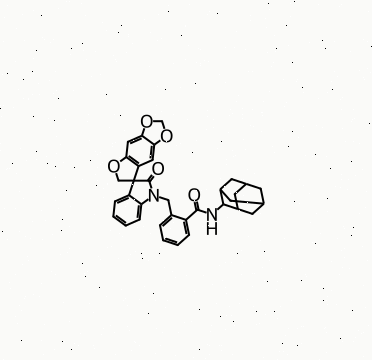 O=C(NC1C2CC3CC(C2)CC1C3)c1ccccc1CN1C(=O)C2(COc3cc4c(cc32)OCO4)c2ccccc21